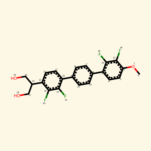 COc1ccc(-c2ccc(-c3ccc(C(CO)CO)c(F)c3F)cc2)c(F)c1F